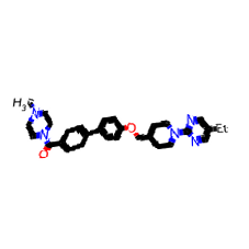 CCc1cnc(N2CCC(COc3ccc(C4=CCC(C(=O)N5CCN(C)CC5)CC4)cc3)CC2)nc1